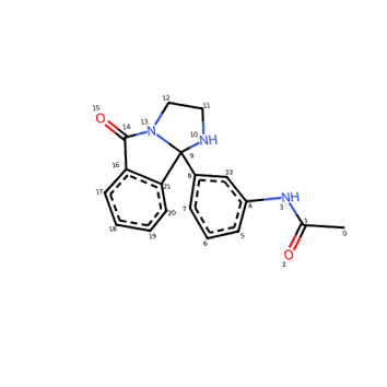 CC(=O)Nc1cccc(C23NCCN2C(=O)c2ccccc23)c1